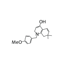 COc1ccc(CN2CC=C(O)C3=C2CC(C)(C)C=C3)cc1